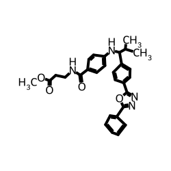 COC(=O)CCNC(=O)c1ccc(NC(c2ccc(-c3nnc(-c4ccccc4)o3)cc2)C(C)C)cc1